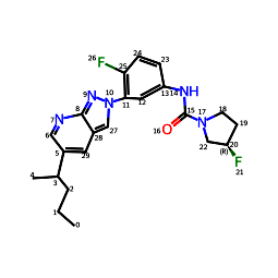 CCCC(C)c1cnc2nn(-c3cc(NC(=O)N4CC[C@@H](F)C4)ccc3F)cc2c1